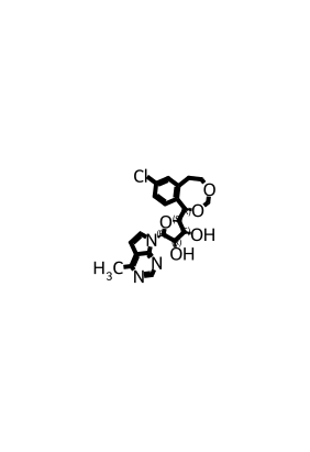 Cc1ncnc2c1ccn2[C@@H]1O[C@H]([C@@H]2OCOCCc3cc(Cl)ccc32)[C@@H](O)[C@H]1O